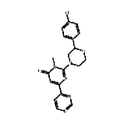 Cn1c(N2CCOC(c3ccc(Cl)cc3)C2)nc(-c2ccncn2)cc1=O